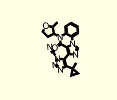 CC1OCCC1n1c(=O)c2c(-c3c(C4(C)CC4)nnn3C#N)ncn2c2ccccc21